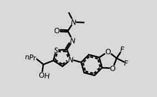 CCCC(O)c1cn(-c2ccc3c(c2)OC(F)(F)O3)c(=NC(=O)N(C)C)s1